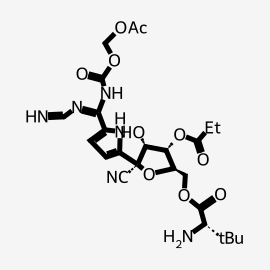 CCC(=O)O[C@H]1[C@@H](O)[C@](C#N)(c2ccc(/C(=N\C=N)NC(=O)OCOC(C)=O)[nH]2)O[C@@H]1COC(=O)[C@@H](N)C(C)(C)C